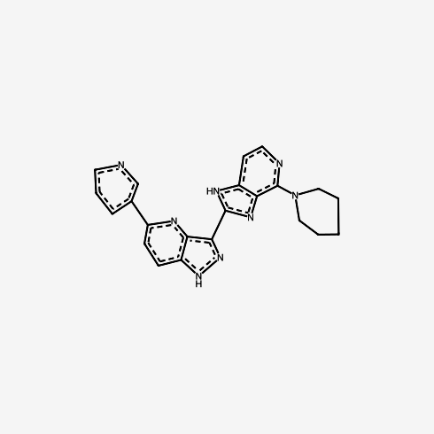 c1cncc(-c2ccc3[nH]nc(-c4nc5c(N6CCCCC6)nccc5[nH]4)c3n2)c1